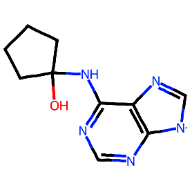 OC1(Nc2ncnc3c2N=C[N]3)CCCC1